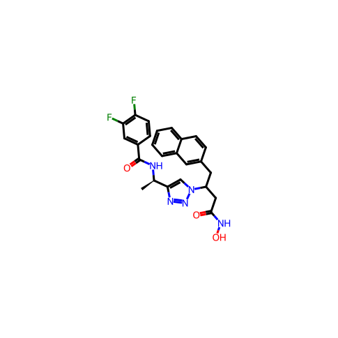 C[C@@H](NC(=O)c1ccc(F)c(F)c1)c1cn(C(CC(=O)NO)Cc2ccc3ccccc3c2)nn1